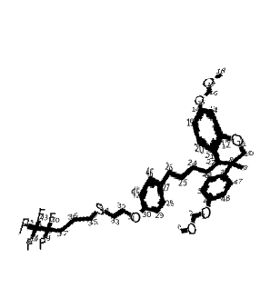 COCOc1ccc(C2(C)COc3cc(OCOC)ccc3C2CCCCc2ccc(OCCSCCCC(F)(F)C(F)(F)F)cc2)cc1